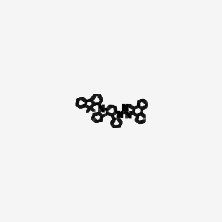 CC1(C)c2ccccc2-c2cccc(-n3c4ccccc4c4c5c6ccccc6n(-c6ncc7c8ccccc8c8ccccc8c7n6)c5ccc43)c21